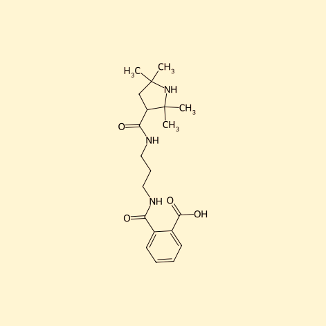 CC1(C)CC(C(=O)NCCCNC(=O)c2ccccc2C(=O)O)C(C)(C)N1